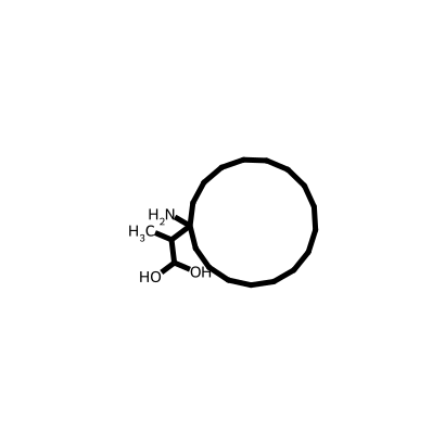 CC(C(O)O)C1(N)CCCCCCCCCCCCCCCC1